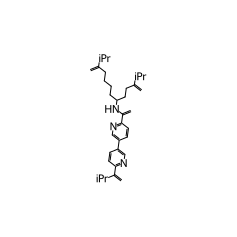 C=C(NC(CCCCC(=C)C(C)C)CCC(=C)C(C)C)c1ccc(-c2ccc(C(=C)C(C)C)nc2)cn1